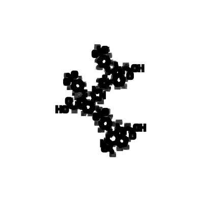 CS(=O)(=O)c1ccc(Sc2cn(CC(=O)O)c3cccc(-c4cncnc4)c23)cc1.Cc1c(Sc2ccc(S(C)(=O)=O)cc2)c2c(-c3cccs3)cccc2n1CC(=O)O.Cc1noc(C)c1-c1cccc2c1c(Sc1ccc(S(C)(=O)=O)cc1)c(C)n2CC(=O)O